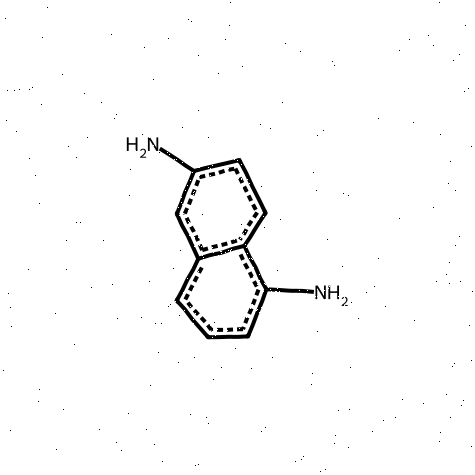 Nc1ccc2c(N)cccc2c1